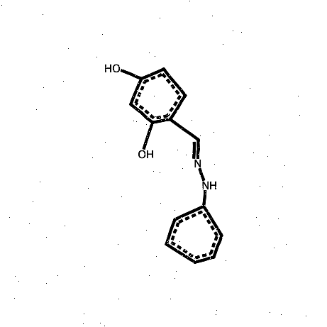 Oc1ccc(C=NNc2ccccc2)c(O)c1